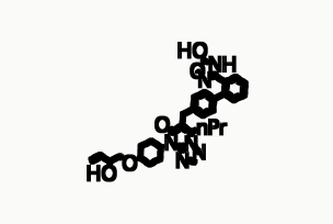 C=CC(O)CO[C@H]1CC[C@H](n2c(=O)c(Cc3ccc(-c4ccccc4C4=NOC(O)N4)cc3)c(CCC)n3ncnc32)CC1